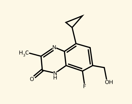 Cc1nc2c(C3CC3)cc(CO)c(F)c2[nH]c1=O